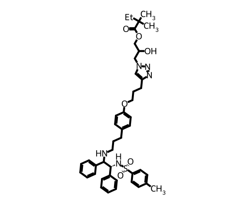 CCC(C)(C)C(=O)OCC(O)Cn1cc(CCCOc2ccc(CCCNC(c3ccccc3)[C@H](NS(=O)(=O)c3ccc(C)cc3)c3ccccc3)cc2)nn1